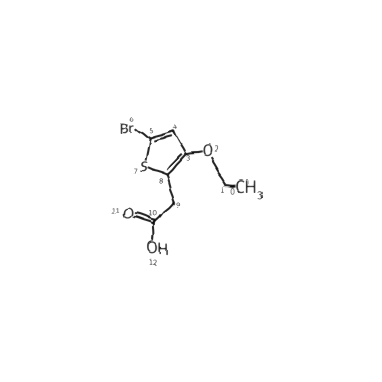 CCOc1cc(Br)sc1CC(=O)O